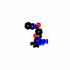 C#C[C@@]1(C(C)C)CC(=O)N(Cc2ccc(C(=O)N3Cc4ccccc4C3)cc2)C(=N)N1